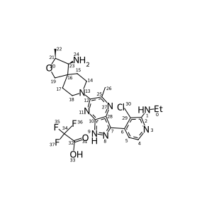 CCNc1nccc(-c2n[nH]c3nc(N4CCC5(CC4)CO[C@@H](C)[C@H]5N)c(C)nc23)c1Cl.O=C(O)C(F)(F)F